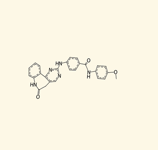 COc1ccc(NC(=O)c2ccc(Nc3ncc4c(n3)-c3ccccc3NC(=O)C4)cc2)cc1